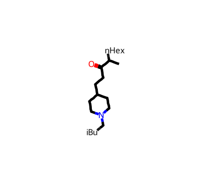 CCCCCCC(C)C(=O)CCC1CCN(CC(C)CC)CC1